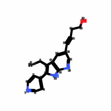 CC(C)Cc1c(-c2ccncc2)[nH]c2ncc(C#CCCO)cc12